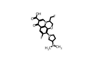 CN(C)C1CCN(c2c(F)cc3c(=O)c(C(=O)O)cn4c3c2OCC4CF)C1